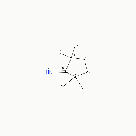 CC1(C)CCC(C)(C)C1=N